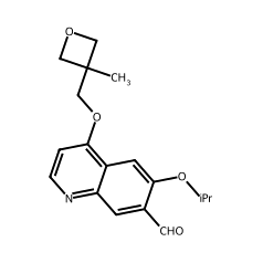 CC(C)Oc1cc2c(OCC3(C)COC3)ccnc2cc1C=O